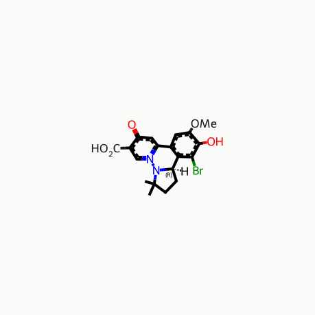 COc1cc2c(c(Br)c1O)[C@H]1CCC(C)(C)N1n1cc(C(=O)O)c(=O)cc1-2